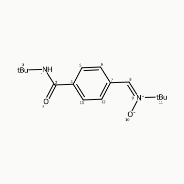 CC(C)(C)NC(=O)c1ccc(/C=[N+](\[O-])C(C)(C)C)cc1